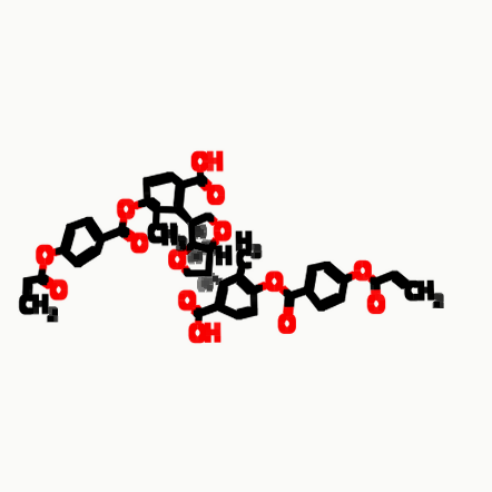 C=CC(=O)Oc1ccc(C(=O)Oc2ccc(C(=O)O)c([C@H]3CO[C@@H]4[C@H]3OC[C@H]4c3c(C(=O)O)ccc(OC(=O)c4ccc(OC(=O)C=C)cc4)c3C)c2C)cc1